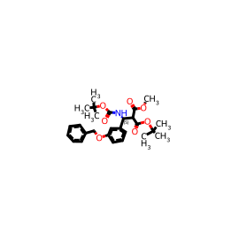 COC(=O)C(C(=O)OC(C)(C)C)[C@H](NC(=O)OC(C)(C)C)c1cccc(OCc2ccccc2)c1